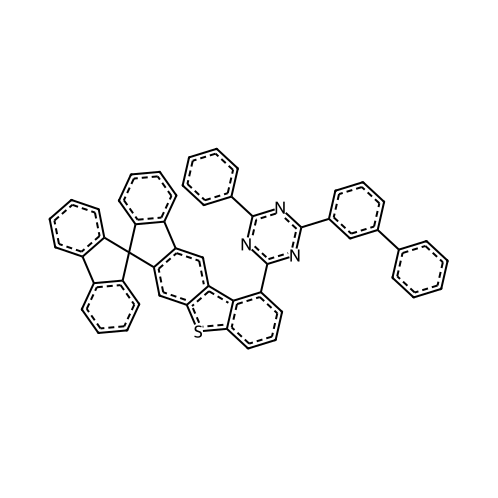 c1ccc(-c2cccc(-c3nc(-c4ccccc4)nc(-c4cccc5sc6cc7c(cc6c45)-c4ccccc4C74c5ccccc5-c5ccccc54)n3)c2)cc1